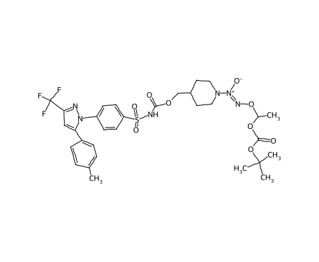 Cc1ccc(-c2cc(C(F)(F)F)nn2-c2ccc(S(=O)(=O)NC(=O)OCC3CCN([N+]([O-])=NOC(C)OC(=O)OC(C)(C)C)CC3)cc2)cc1